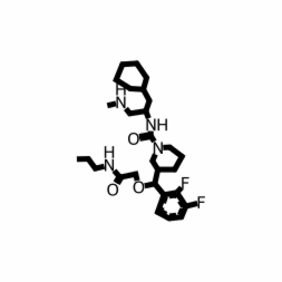 CCCNC(=O)COC(c1cccc(F)c1F)C1CCCN(C(=O)NC(CNC)CC2CCCCC2)C1